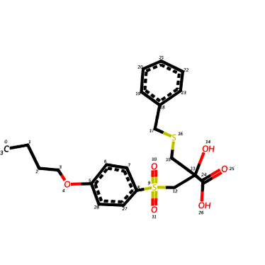 CCCCOc1ccc(S(=O)(=O)CC(O)(CSCc2ccccc2)C(=O)O)cc1